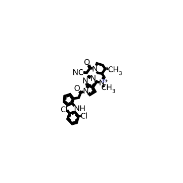 C[C@@H]1CCN(C(=O)CC#N)CC1/C=[N+](/C)c1ncnc2c1ccn2C(=O)Cc1ccccc1Nc1c(Cl)cccc1Cl